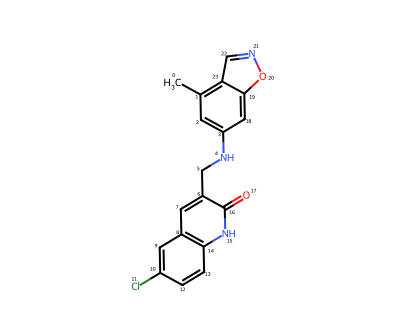 Cc1cc(NCc2cc3cc(Cl)ccc3[nH]c2=O)cc2oncc12